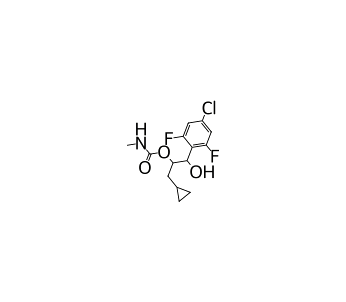 CNC(=O)OC(CC1CC1)C(O)c1c(F)cc(Cl)cc1F